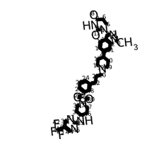 Cn1nc(N2CCC(=O)NC2=O)c2ccc(C3CCN(CCCc4cccc(S(=O)(=O)N5CCC(Nc6ncc(C(F)(F)F)cn6)CC5)c4)CC3)cc21